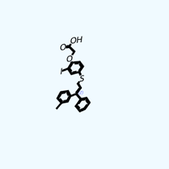 Cc1cccc(/C(=C\CSc2ccc(OCC(=O)O)c(I)c2)c2ccccc2)c1